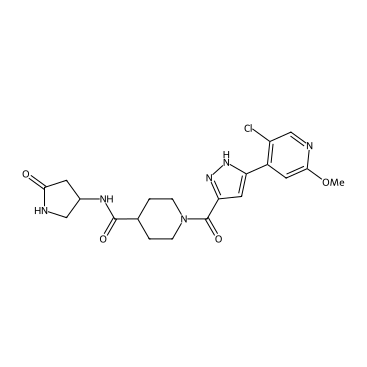 COc1cc(-c2cc(C(=O)N3CCC(C(=O)NC4CNC(=O)C4)CC3)n[nH]2)c(Cl)cn1